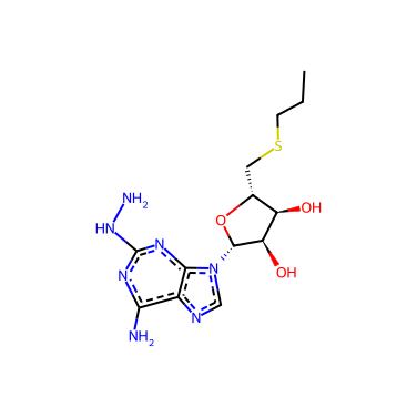 CCCSC[C@H]1O[C@@H](n2cnc3c(N)nc(NN)nc32)[C@H](O)[C@@H]1O